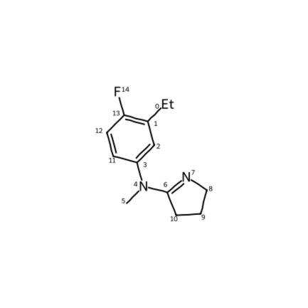 CCc1cc(N(C)C2=NCCC2)ccc1F